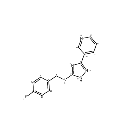 Fc1ccc(CSc2nc(-c3cccnc3)n[nH]2)cc1